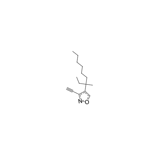 C#Cc1nocc1C(C)(CC)CCCCCC